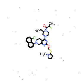 C=C(F)C(=O)N1CCN(c2nc(OCSC3CCCN3C)nc3c2CCN(c2cccc4cccc(Cl)c24)C3)CC1CC#N